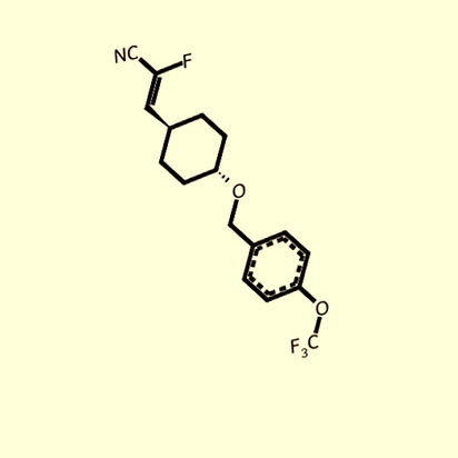 N#CC(F)=C[C@H]1CC[C@H](OCc2ccc(OC(F)(F)F)cc2)CC1